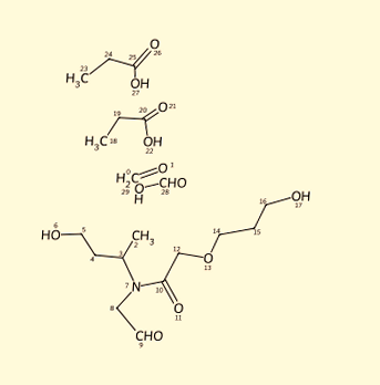 C=O.CC(CCO)N(CC=O)C(=O)COCCCO.CCC(=O)O.CCC(=O)O.O=CO